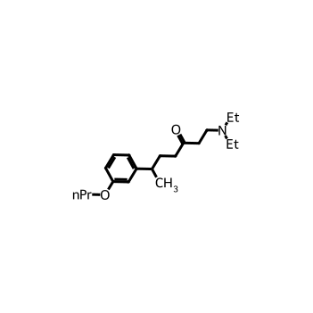 CCCOc1cccc(C(C)CCC(=O)CCN(CC)CC)c1